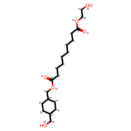 O=C(CCCCCCCCC(=O)OCC1CCC(CO)CC1)OCCO